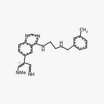 CN/C=C(\C=N)c1ccc2ncnc(NCCNCc3cccc(C)c3)c2c1